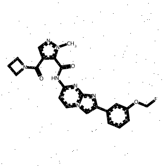 Cn1ncc(C(=O)N2CCC2)c1C(=O)Nc1ccn2cc(-c3cccc(OCF)c3)nc2n1